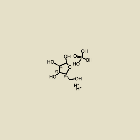 O=P(O)(O)O.OC[C@H]1OC(O)[C@H](O)[C@@H]1O.[H+].[H+]